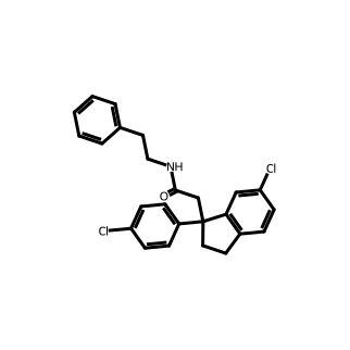 O=C(CC1(c2ccc(Cl)cc2)CCc2ccc(Cl)cc21)NCCc1ccccc1